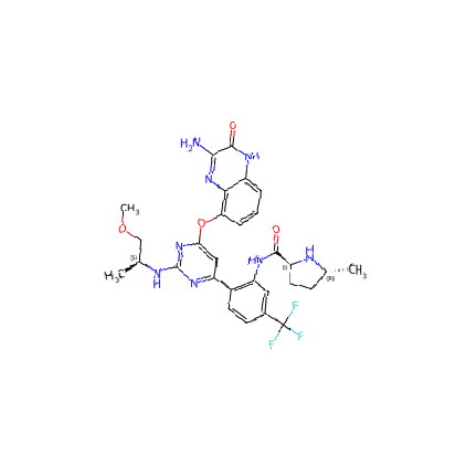 COC[C@H](C)Nc1nc(Oc2cccc3[nH]c(=O)c(N)nc23)cc(-c2ccc(C(F)(F)F)cc2NC(=O)[C@@H]2CC[C@@H](C)N2)n1